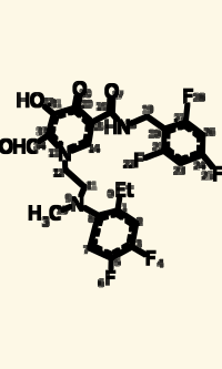 CCc1cc(F)c(F)cc1N(C)CCn1cc(C(=O)NCc2c(F)cc(F)cc2F)c(=O)c(O)c1C=O